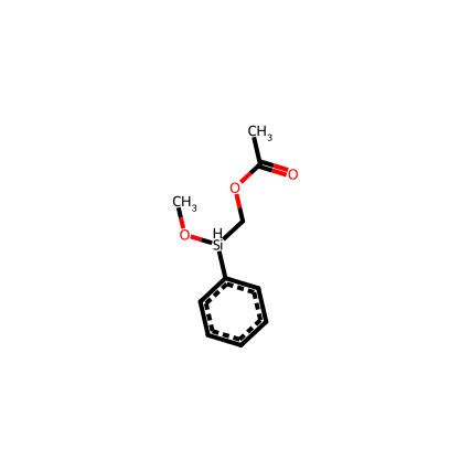 CO[SiH](COC(C)=O)c1ccccc1